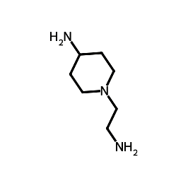 NCCN1CCC(N)CC1